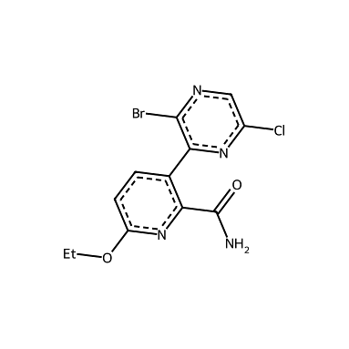 CCOc1ccc(-c2nc(Cl)cnc2Br)c(C(N)=O)n1